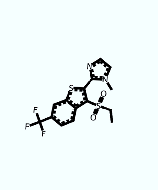 CCS(=O)(=O)c1c(-c2nccn2C)sc2cc(C(F)(F)F)ccc12